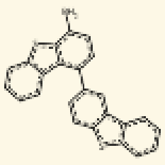 Bc1ccc(-c2ccc3sc4ccccc4c3c2)c2c1sc1ccccc12